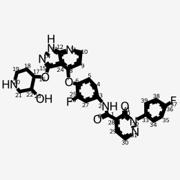 O=C(Nc1ccc(Oc2ccnc3[nH]nc(OC4CCNCC4O)c23)c(F)c1)c1ccnn(-c2ccc(F)cc2)c1=O